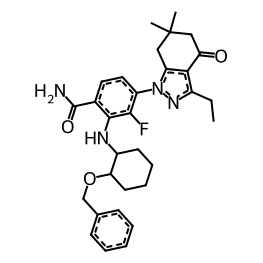 CCc1nn(-c2ccc(C(N)=O)c(NC3CCCCC3OCc3ccccc3)c2F)c2c1C(=O)CC(C)(C)C2